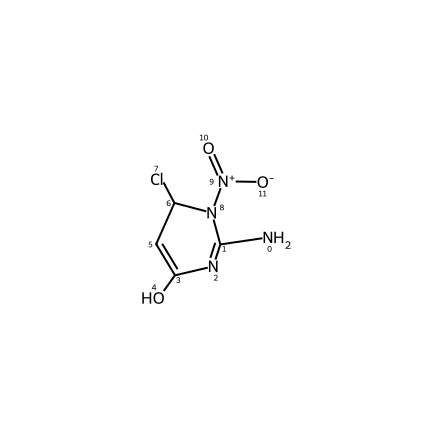 NC1=NC(O)=CC(Cl)N1[N+](=O)[O-]